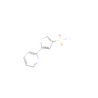 NS(=O)(=O)c1c[nH]c(-c2ccccn2)c1